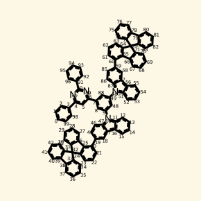 c1ccc(-c2cc(-c3cc(-n4c5ccccc5c5cc(-c6cccc7c6-c6ccccc6C76c7ccccc7-c7ccccc76)ccc54)cc(-n4c5ccccc5c5cc(-c6cccc7c6-c6ccccc6C76c7ccccc7-c7ccccc76)ccc54)c3)nc(-c3ccccc3)n2)cc1